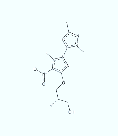 Cc1cc(-n2nc(OC[C@@H](C)CO)c([N+](=O)[O-])c2C)n(C)n1